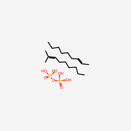 CC=CCCCCCC.CCCCCCC=C(C)C.O=P(O)(O)OP(=O)(O)O